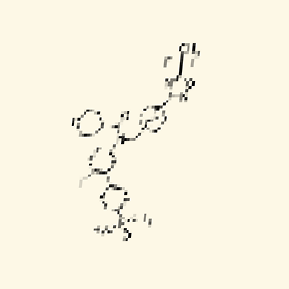 CC(F)(F)c1nc(C23CCC(CN(C(=O)C4CCOCC4)c4ccc(F)c(-c5ccc(P(C)(C)=O)cc5)c4)(CC2)CC3)no1